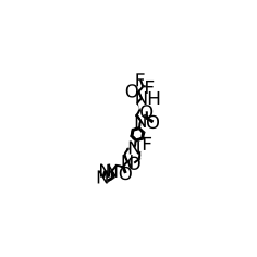 O=C(NC[C@H]1CN(c2ccc(N3CCON(C(=O)Cn4ccnn4)CC3)c(F)c2)C(=O)O1)C(F)F